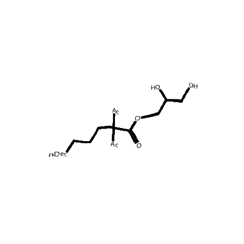 CCCCCCCCCCCCCC(C(C)=O)(C(C)=O)C(=O)OCC(O)CO